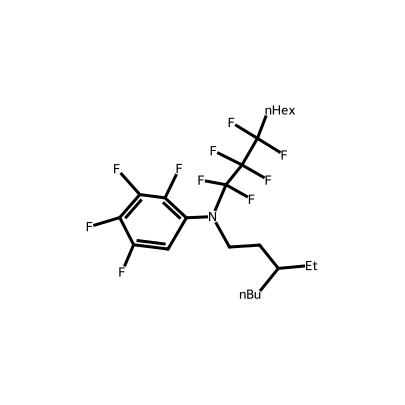 CCCCCCC(F)(F)C(F)(F)C(F)(F)N(CCC(CC)CCCC)c1cc(F)c(F)c(F)c1F